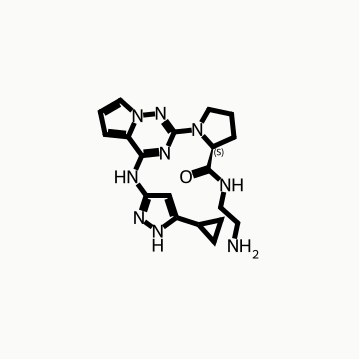 NCCNC(=O)[C@@H]1CCCN1c1nc(Nc2cc(C3CC3)[nH]n2)c2cccn2n1